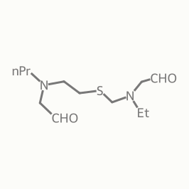 CCCN(CC=O)CCSCN(CC)CC=O